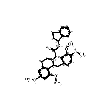 COc1cc2c(c(OC)c1)C(Cc1ccc(OC)c(OC)c1)N(CC(=O)N[C@H]1CCc3ccccc31)CC2